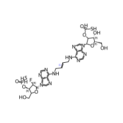 O=[PH](S)OC1C(n2cnc3c(NC/C=C/CNc4ncnc5c4ncn5[C@@H]4OC(CO)[C@@H](O[PH](=O)S)[C@H]4F)ncnc32)O[C@H](CO)[C@H]1O